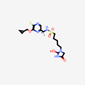 C[C@@H](NS(=O)(=O)CCCCCN1CC(=O)NC1O)c1cnc(F)c(OCC2CC2)n1